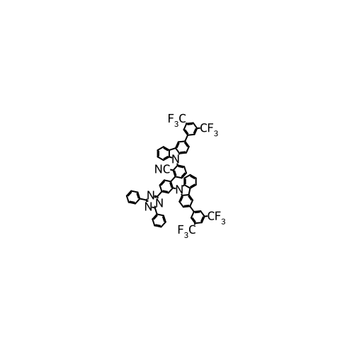 N#Cc1c(-c2ccc(-c3nc(-c4ccccc4)nc(-c4ccccc4)n3)cc2-n2c3ccccc3c3cc(-c4cc(C(F)(F)F)cc(C(F)(F)F)c4)ccc32)cccc1-n1c2ccccc2c2cc(-c3cc(C(F)(F)F)cc(C(F)(F)F)c3)ccc21